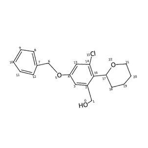 OCc1cc(OCc2ccccc2)cc(Cl)c1C1CCCCO1